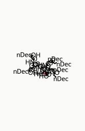 CCCCCCCCCCCCC(=O)O[C@H](CCCCCCCCCC)CC(=O)NC1C(OC(=O)C[C@@H](CCCCCCCCCC)OC(=O)CCCCCCCCCCCC)[C@H](OP(=O)(O)O)C(CO)O[C@H]1OCC1OCC(NC(=O)C[C@H](O)CCCCCCCCCC)C(OC(=O)C[C@H](O)CCCCCCCCCC)[C@@H]1O